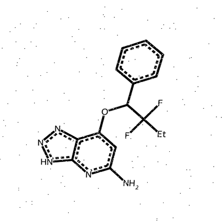 CCC(F)(F)C(Oc1cc(N)nc2[nH]nnc12)c1ccccc1